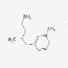 CC(CCN)CC1=CN(C)CC=C1